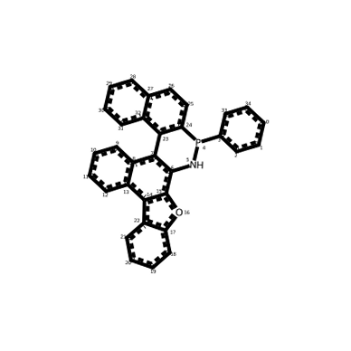 c1ccc(P2Nc3c(c4ccccc4c4c3oc3ccccc34)-c3c2ccc2ccccc32)cc1